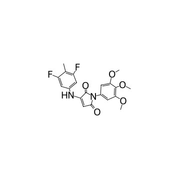 COc1cc(N2C(=O)C=C(Nc3cc(F)c(C)c(F)c3)C2=O)cc(OC)c1OC